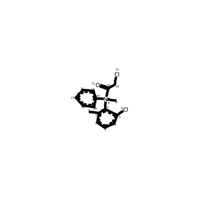 Cc1cccc(Cl)c1[N+](C)(C(=O)CCl)c1ccccc1